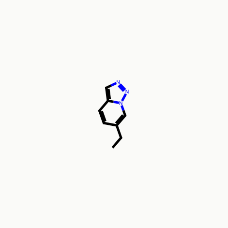 CCc1ccc2cnnn2c1